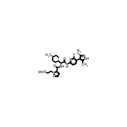 COCCn1nccc1C(=O)N[C@H](C(=O)Nc1ccc(-c2c(C)n[nH]c2C)c(F)n1)[C@H]1CC[C@H](C)CC1